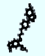 COc1cc2[nH]ccc2cc1OCCCN1CCC(c2noc3cc(F)ccc23)CC1